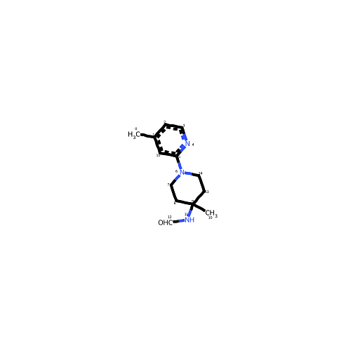 Cc1ccnc(N2CCC(C)(NC=O)CC2)c1